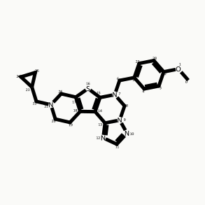 COc1ccc(CN2Cn3ncnc3-c3c2sc2c3CCN(CC3CC3)C2)cc1